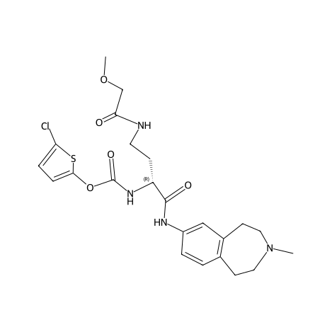 COCC(=O)NCC[C@@H](NC(=O)Oc1ccc(Cl)s1)C(=O)Nc1ccc2c(c1)CCN(C)CC2